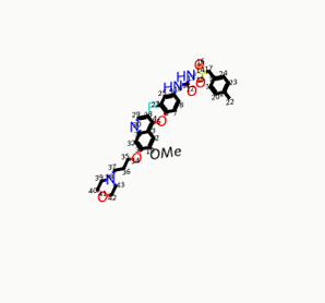 COc1cc2c(Oc3ccc(NC(=O)NS(=O)(=O)Cc4ccc(C)cc4)cc3F)ccnc2cc1OCCCN1CCOCC1